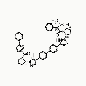 CN(C)[C@@H](C(=O)N1CCC[C@H]1c1ncc(-c2ccc(-c3ccc(-c4cnc([C@@H]5CCCN5C(=O)c5ccc(-c6ccccc6)s5)[nH]4)cc3)cc2)[nH]1)c1ccccc1